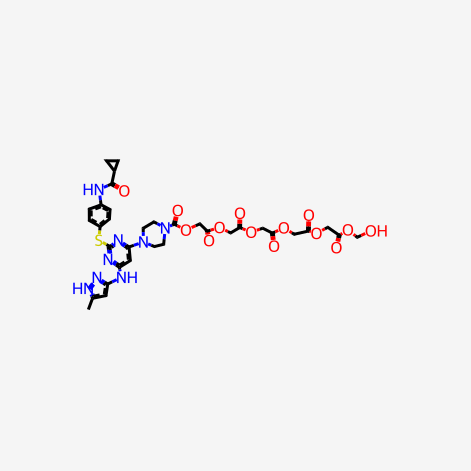 Cc1cc(Nc2cc(N3CCN(C(=O)OCC(=O)OCC(=O)OCC(=O)OCC(=O)OCC(=O)OCO)CC3)nc(Sc3ccc(NC(=O)C4CC4)cc3)n2)n[nH]1